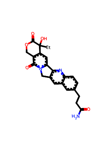 CCC1(O)C(=O)OCc2c1cc1n(c2=O)Cc2cc3cc(CCC(N)=O)ccc3nc2-1